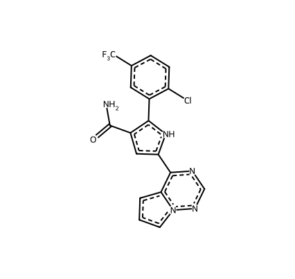 NC(=O)c1cc(-c2ncnn3cccc23)[nH]c1-c1cc(C(F)(F)F)ccc1Cl